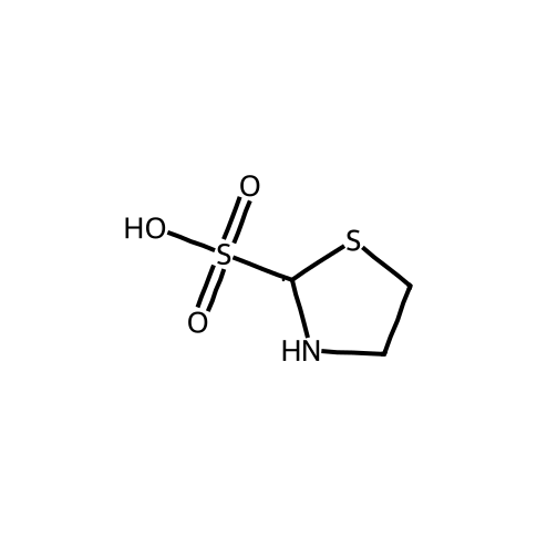 O=S(=O)(O)[C]1NCCS1